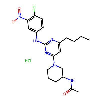 CCCCc1cc(N2CCCC(NC(C)=O)C2)nc(Nc2ccc(Cl)c([N+](=O)[O-])c2)n1.Cl